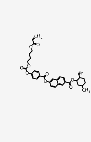 C=CC(=O)OCCCCOC(=O)Oc1ccc(C(=O)Oc2ccc3cc(C(=O)OC4CC(C)CCC4C(C)C)ccc3c2)cc1